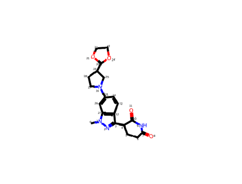 Cn1nc(C2CCC(=O)NC2=O)c2ccc(N3CCC(C4OCCO4)C3)cc21